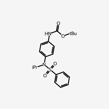 CC(C)N(c1ccc(NC(=O)OC(C)(C)C)cc1)S(=O)(=O)c1ccccc1